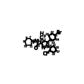 C[C@H]1C(C(=O)NN2CCCCC2)=NN(c2ccccc2Cl)[C@@H]1c1ccc(Br)cc1